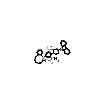 Cc1cc(N2c3ccccc3C/C=C\C=C/C2C)ccc1C1C=CC(n2c3ccccc3c3ccccc32)=CC1C